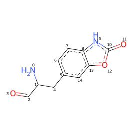 NC(C=O)Cc1ccc2[nH]c(=O)oc2c1